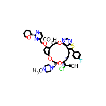 C#C/C(Cl)=C1\C=C/Cc2c(-c3ccc(F)cc3)sc3ncnc(c23)O[C@@H](C(=O)O)Cc2cc(ccc2OCc2ccnc([C@@H]3CCCCO3)n2)OC[C@@H](CN2CCN(C)CC2)O1